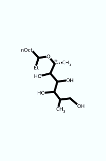 CCCCCCCCC(CC)O[C@H](C)C(O)C(O)C(O)C(C)CO